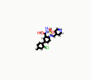 Cc1ccc(-c2ccc3c(c2)C(O)NS(=O)(=O)N3Cc2ccncc2)c(Cl)c1